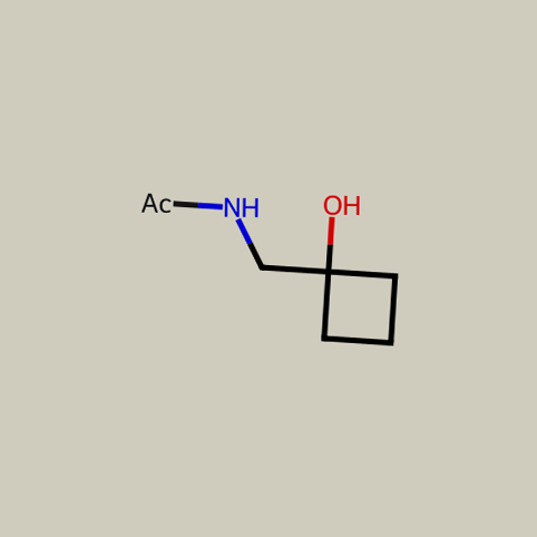 CC(=O)NCC1(O)CCC1